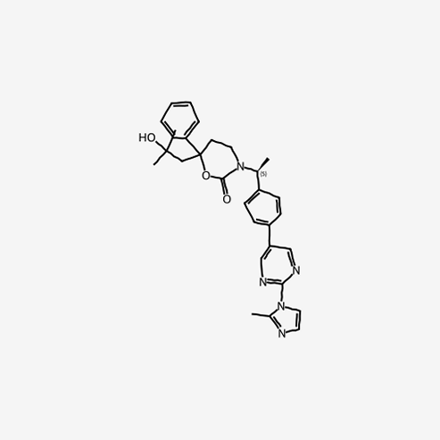 Cc1nccn1-c1ncc(-c2ccc([C@H](C)N3CCC(CC(C)(C)O)(c4ccccc4)OC3=O)cc2)cn1